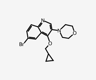 Brc1ccc2ncc(N3CCOCC3)c(OCC3CC3)c2c1